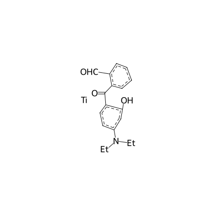 CCN(CC)c1ccc(C(=O)c2ccccc2C=O)c(O)c1.[Ti]